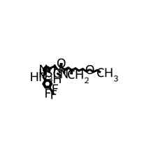 C=C(/C=C(\N=C/C)C(=O)NCc1cnc(Nc2ccc(C(F)(F)F)cc2)s1)CCCCOCCC